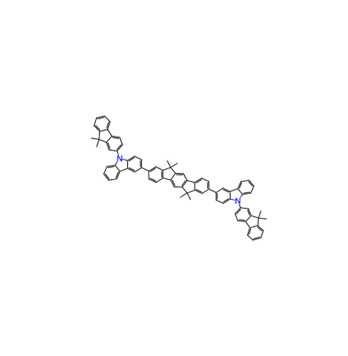 CC1(C)c2ccccc2-c2ccc(-n3c4ccccc4c4cc(-c5ccc6c(c5)C(C)(C)c5cc7c(cc5-6)C(C)(C)c5cc(-c6ccc8c(c6)c6ccccc6n8-c6ccc8c(c6)C(C)(C)c6ccccc6-8)ccc5-7)ccc43)cc21